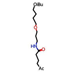 CC(=O)CCCC(=O)NCCCOCCCCOCC(C)C